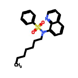 CCCCCCCN(c1cccc2cccnc12)S(=O)(=O)c1ccccc1